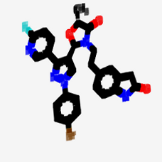 C[C@H]1O[C@H](c2cn(-c3ccc(Br)cc3)nc2-c2ccc(F)nc2)N(CCc2ccc3c(c2)=CC(=O)N=3)C1=O